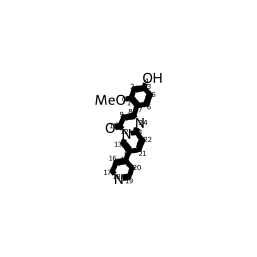 COc1cc(O)ccc1-c1cc(=O)n2cc(C3=CCN=CC3)ccc2n1